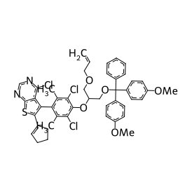 C=CCOCC(COC(c1ccccc1)(c1ccc(OC)cc1)c1ccc(OC)cc1)Oc1c(Cl)c(C)c(-c2c(C3=CCCC3)sc3ncnc(Cl)c23)c(C)c1Cl